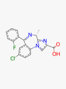 C[C@H]1N=C(c2ccccc2F)c2cc(Cl)ccc2-n2cc(C(=O)O)nc21